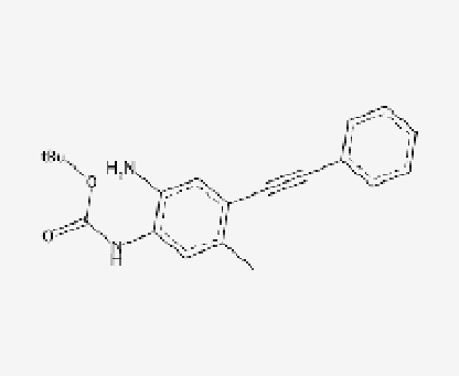 Cc1cc(NC(=O)OC(C)(C)C)c(N)cc1C#Cc1ccccc1